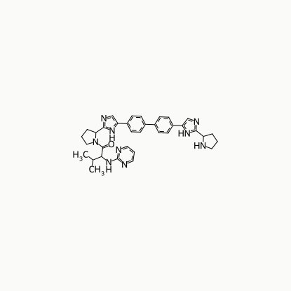 CC(C)C(Nc1ncccn1)C(=O)N1CCCC1c1ncc(-c2ccc(-c3ccc(-c4cnc(C5CCCN5)[nH]4)cc3)cc2)[nH]1